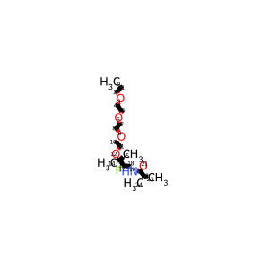 CCCOCCOCCOCCOC(C)(C)C(F)CNC(=O)C(C)C